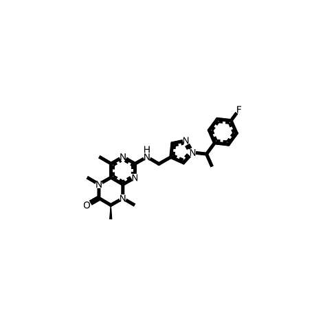 Cc1nc(NCc2cnn(C(C)c3ccc(F)cc3)c2)nc2c1N(C)C(=O)[C@H](C)N2C